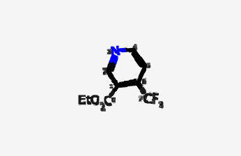 CCOC(=O)c1cnccc1C(F)(F)F